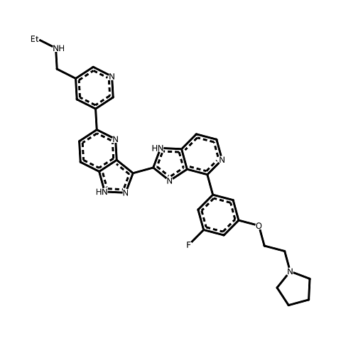 CCNCc1cncc(-c2ccc3[nH]nc(-c4nc5c(-c6cc(F)cc(OCCN7CCCC7)c6)nccc5[nH]4)c3n2)c1